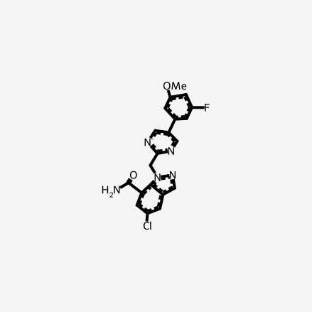 COc1cc(F)cc(-c2cnc(Cn3ncc4cc(Cl)cc(C(N)=O)c43)nc2)c1